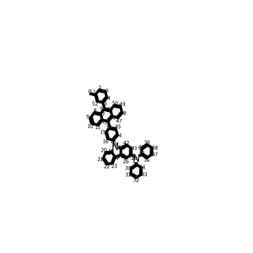 Cc1cccc(-c2c3cc#ccc3c(-c3ccc(-n4c5ccccc5c5cc(N(c6ccccc6)c6ccccc6)ccc54)cc3)c3ccccc23)c1